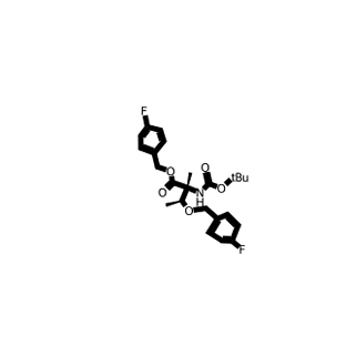 C[C@H](OCc1ccc(F)cc1)[C@@](C)(NC(=O)OC(C)(C)C)C(=O)OCc1ccc(F)cc1